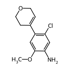 COc1cc(C2=CCOCC2)c(Cl)cc1N